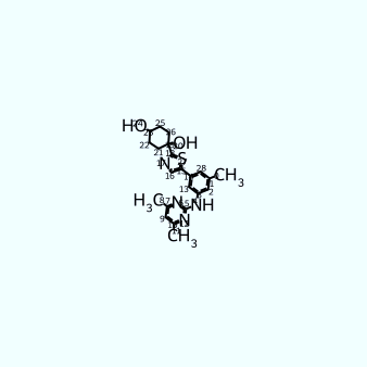 Cc1cc(Nc2nc(C)cc(C)n2)cc(-c2cnc(C3(O)CCC(O)CC3)s2)c1